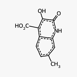 Cc1ccc2c(C(=O)O)c(O)c(=O)[nH]c2c1